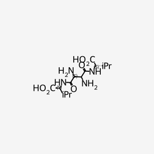 CC(C)[C@H](NC(=O)C(N)[C@H](N)C(=O)N[C@H](C(=O)O)C(C)C)C(=O)O